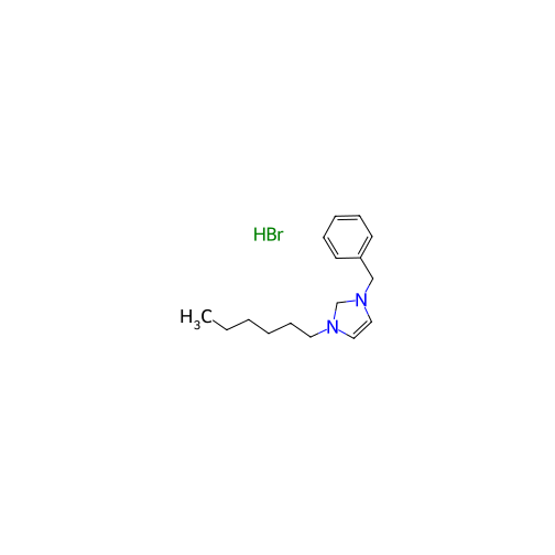 Br.CCCCCCN1C=CN(Cc2ccccc2)C1